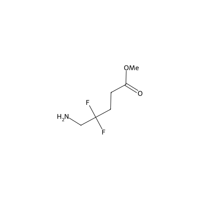 COC(=O)CCC(F)(F)CN